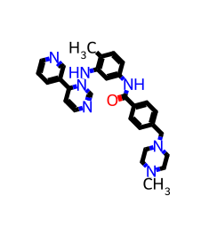 Cc1ccc(NC(=O)c2ccc(CN3CCN(C)CC3)cc2)cc1NN1C=NC=CC1c1cccnc1